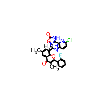 Cc1cc(C(C)Nc2ccc(Cl)nc2-c2noc(=O)[nH]2)c2oc(-c3ccccc3F)c(C)c(=O)c2c1